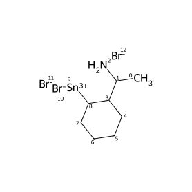 CC(N)C1CCCC[CH]1[Sn+3].[Br-].[Br-].[Br-]